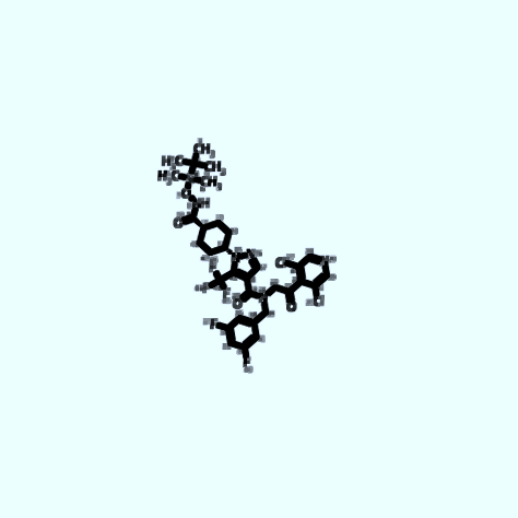 CC(C)(C)[Si](C)(C)ONC(=O)[C@H]1CC[C@H](n2ncc(C(=O)N(CC(=O)c3c(Cl)cncc3Cl)Cc3cc(F)cc(F)c3)c2C(F)(F)F)CC1